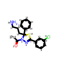 CC(C)C(=O)N1N=C(c2cccc(Cl)c2)SC1(CCCN)c1ccccc1